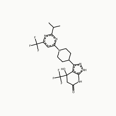 CC(C)c1nc(N2CCC(c3n[nH]c4c3C(O)(C(F)(F)F)CC(=O)N4)CC2)cc(C(F)(F)F)n1